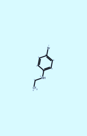 FC(F)(F)CNc1ccc(Br)cc1